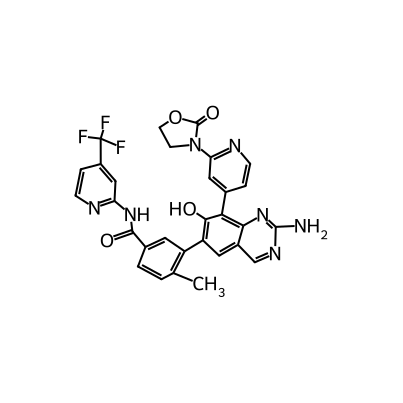 Cc1ccc(C(=O)Nc2cc(C(F)(F)F)ccn2)cc1-c1cc2cnc(N)nc2c(-c2ccnc(N3CCOC3=O)c2)c1O